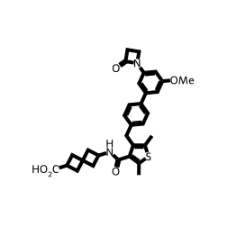 COc1cc(-c2ccc(Cc3c(C)sc(C)c3C(=O)NC3CC4(C3)CC(C(=O)O)C4)cc2)cc(N2CCC2=O)c1